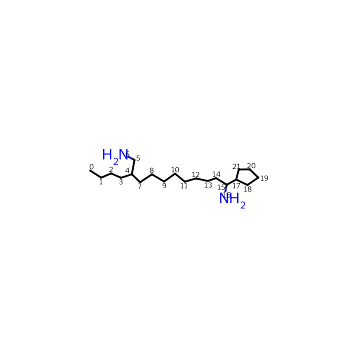 CCCCC(CN)CCCCCCCCC(N)C1CCCC1